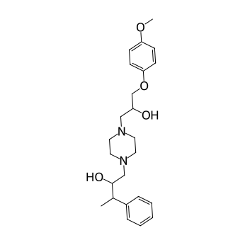 COc1ccc(OCC(O)CN2CCN(CC(O)C(C)c3ccccc3)CC2)cc1